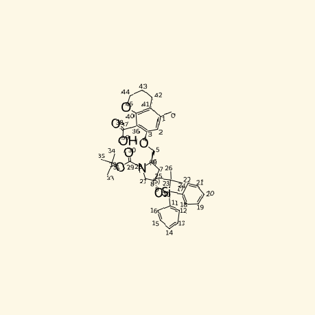 Cc1cc(OC[C@H]2C[C@H](O[Si](c3ccccc3)(c3ccccc3)C(C)(C)C)CN2C(=O)OC(C)(C)C)c(C(=O)O)c2c1CCCO2